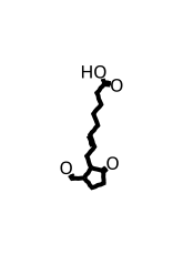 O=CC1CCC(=O)C1CC=CCCCCC(=O)O